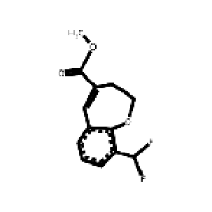 COC(=O)C1=Cc2cccc(C(F)F)c2OCC1